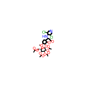 COc1ccc2c(Nc3c(Cl)cncc3Cl)cc(=O)oc2c1O[C@@H]1O[C@H](COC(C)=O)[C@@H](OC(C)=O)[C@H](OC(C)=O)[C@H]1OC(C)=O